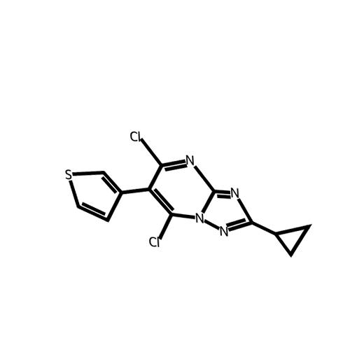 Clc1nc2nc(C3CC3)nn2c(Cl)c1-c1ccsc1